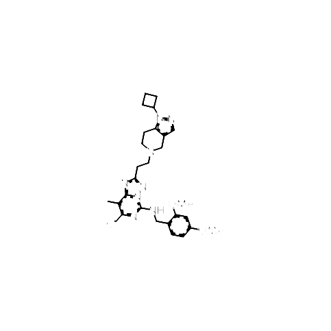 COc1ccc(CNc2nc(Cl)c(C)c3nc(CCN4CCc5c(cnn5C5CCC5)C4)nn23)c(OC)c1